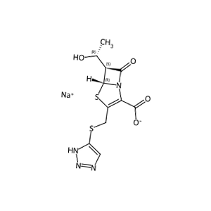 C[C@@H](O)[C@H]1C(=O)N2C(C(=O)[O-])=C(CSc3cnn[nH]3)S[C@H]12.[Na+]